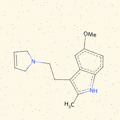 COc1ccc2[nH]c(C)c(CCN3CC=CC3)c2c1